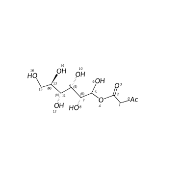 CC(=O)CC(=O)OC(O)[C@H](O)[C@@H](O)[C@H](O)[C@H](O)CO